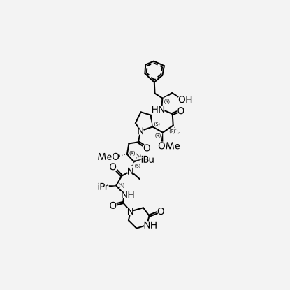 CC[C@H](C)[C@@H]([C@@H](CC(=O)N1CCC[C@H]1[C@H](OC)[C@@H](C)C(=O)N[C@H](CO)Cc1ccccc1)OC)N(C)C(=O)[C@@H](NC(=O)N1CCNC(=O)C1)C(C)C